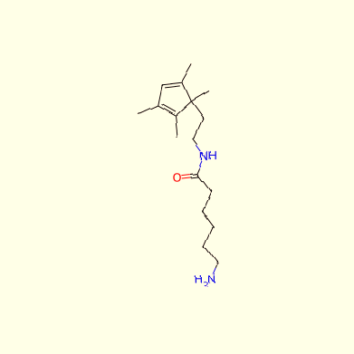 CC1=CC(C)=C(C)C1(C)CCNC(=O)CCCCCN